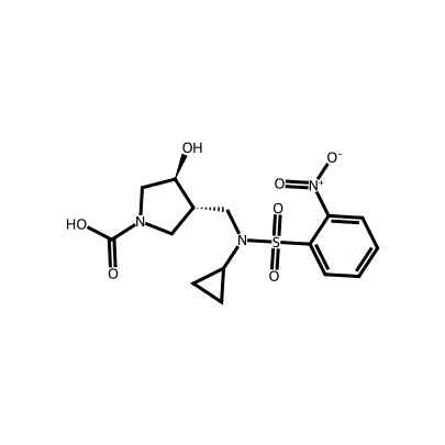 O=C(O)N1C[C@@H](CN(C2CC2)S(=O)(=O)c2ccccc2[N+](=O)[O-])[C@H](O)C1